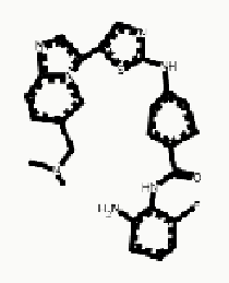 CN(C)Cc1ccc2ncc(-c3cnc(Nc4ccc(C(=O)Nc5c(N)cccc5F)cc4)s3)n2c1